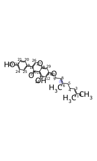 CC(C)=CCC/C(C)=C/COc1cc(O)c2c(=O)c(-c3ccc(O)cc3)coc2c1